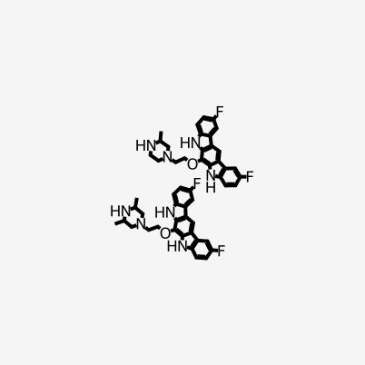 CC1CN(CCOc2c3[nH]c4ccc(F)cc4c3cc3c2[nH]c2ccc(F)cc23)CC(C)N1.CC1CN(CCOc2c3[nH]c4ccc(F)cc4c3cc3c2[nH]c2ccc(F)cc23)CCN1